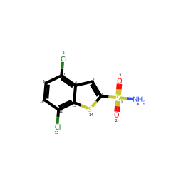 NS(=O)(=O)c1cc2c(Cl)ccc(Cl)c2s1